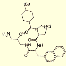 CC(C)(C)C1CCC(C(=O)N2CCC[C@H]2C(=O)N[C@H](Cc2ccc3ccccc3c2)C(=O)NCC(O)CN)CC1.Cl